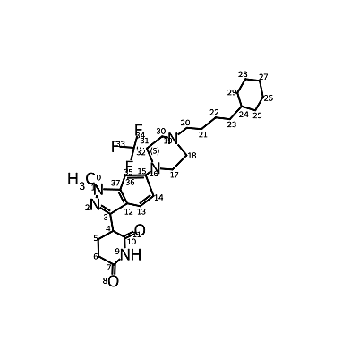 Cn1nc(C2CCC(=O)NC2=O)c2ccc(N3CCN(CCCCC4CCCCC4)C[C@H]3C(F)(F)F)cc21